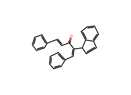 O=C(C=Cc1ccccc1)C(=Cc1ccccc1)C1C=Cc2ccccc21